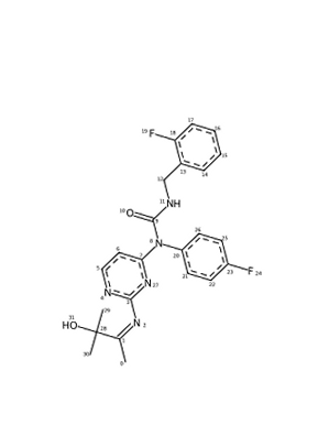 CC(=Nc1nccc(N(C(=O)NCc2ccccc2F)c2ccc(F)cc2)n1)C(C)(C)O